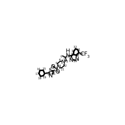 CC(CN1CCN(S(=O)(=O)c2cnc(-c3ccccc3)s2)CC1)Nc1ncnc2c(C(F)(F)F)cccc12